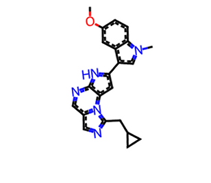 COc1ccc2c(c1)c(-c1cc3c(ncc4cnc(CC5CC5)n43)[nH]1)cn2C